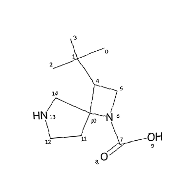 CC(C)(C)C1CN(C(=O)O)C12CCNC2